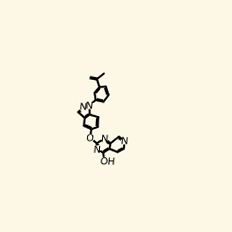 C=C(C)c1cccc(-n2ncc3cc(Oc4nc(O)c5ccncc5n4)ccc32)c1